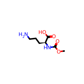 COC(=O)N[C@@H](CCCN)C(=O)O